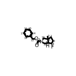 CC12CC[C@H](F)[C@@H]1CN(C(=O)OCc1ccccc1)C2